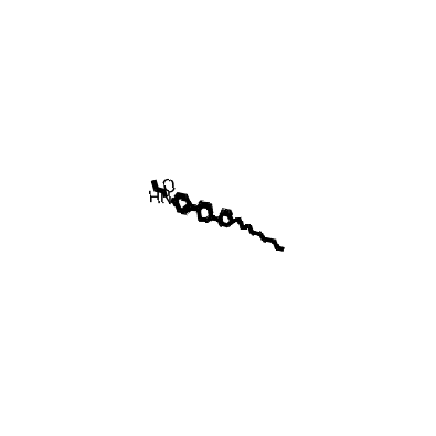 C=CC(=O)Nc1ccc(C2CCC(C3CCC(CCCCCCCCC)CC3)CC2)cc1